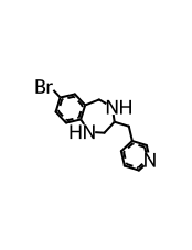 Brc1ccc2c(c1)CNC(Cc1cccnc1)CN2